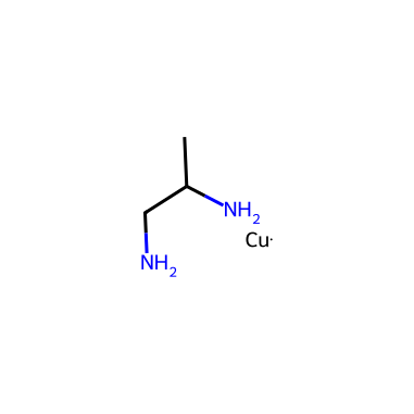 CC(N)CN.[Cu]